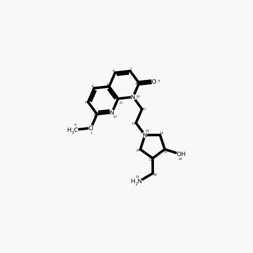 COc1ccc2ccc(=O)n(CCN3CC(O)C(CN)C3)c2n1